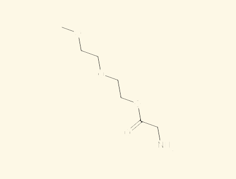 COCCOCCOC(=O)CN